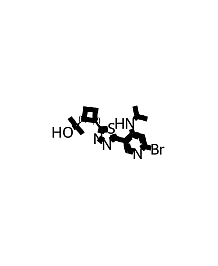 CC(C)Nc1cc(Br)ncc1-c1nnc([C@@H]2CC[C@H]2C(C)(C)O)s1